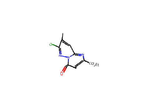 CCOC(=O)c1cc(=O)n2nc(Cl)c(C)cc2n1